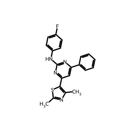 Cc1nc(C)c(-c2cc(-c3ccccc3)nc(Nc3ccc(F)cc3)n2)s1